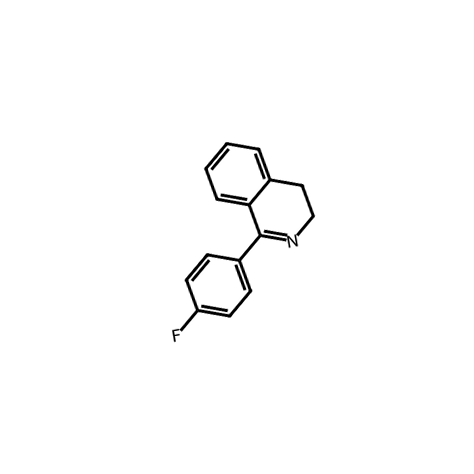 Fc1ccc(C2=NCCc3ccccc32)cc1